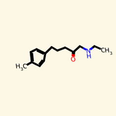 CCNCC(=O)CCCc1ccc(C)cc1